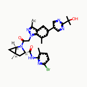 CC(=O)c1nn(CC(=O)N2[C@H](C(=O)Nc3nc(Br)ccc3C)C[C@@]3(C)C[C@@H]23)c2c(C)cc(-c3cnc(C(C)(C)O)nc3)cc12